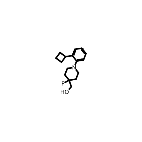 OCC1(F)CCN(c2cc[c]cc2C2CCC2)CC1